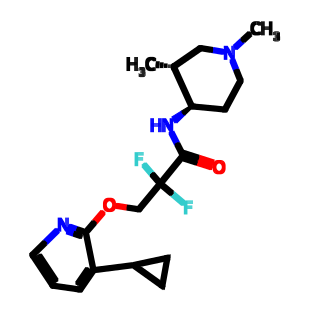 C[C@@H]1CN(C)CC[C@H]1NC(=O)C(F)(F)COc1ncccc1C1CC1